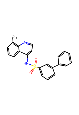 O=S(=O)(Nc1ccnc2c(C(F)(F)F)cccc12)c1cccc(-c2ccccc2)c1